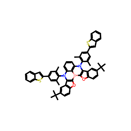 Cc1cc(-c2cc3ccccc3s2)cc(C)c1N1c2cccc3c2B(c2oc4ccc(C(C)(C)C)cc4c21)c1oc2ccc(C(C)(C)C)cc2c1N3c1c(C)cc(-c2cc3ccccc3s2)cc1C